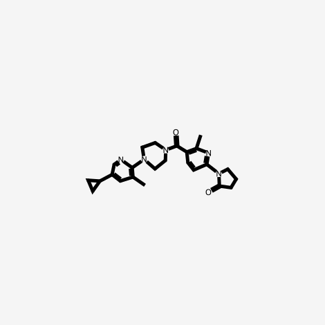 Cc1cc(C2CC2)cnc1N1CCN(C(=O)c2ccc(N3CCCC3=O)nc2C)CC1